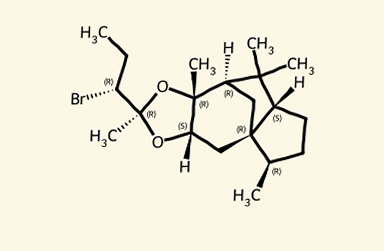 CC[C@@H](Br)[C@]1(C)O[C@H]2C[C@@]34C[C@H](C(C)(C)[C@@H]3CC[C@H]4C)[C@@]2(C)O1